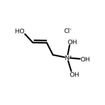 OC=CC[N+](O)(O)O.[Cl-]